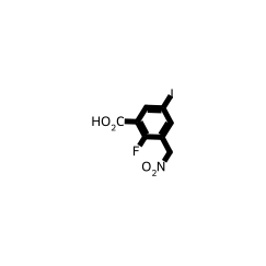 O=C(O)c1cc(I)cc(C[N+](=O)[O-])c1F